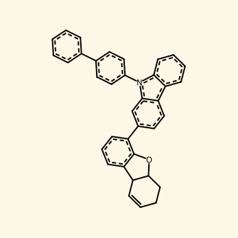 C1=CC2c3cccc(-c4ccc5c6ccccc6n(-c6ccc(-c7ccccc7)cc6)c5c4)c3OC2CC1